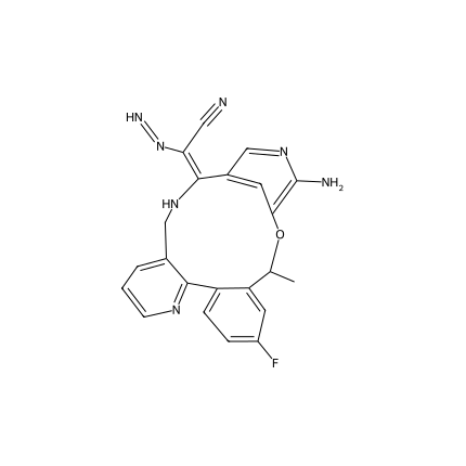 CC1Oc2cc(cnc2N)/C(=C(\C#N)N=N)NCc2cccnc2-c2ccc(F)cc21